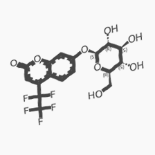 O=c1cc(C(F)(F)C(F)(F)F)c2ccc(O[C@@H]3O[C@H](CO)[C@@H](O)[C@H](O)[C@H]3O)cc2o1